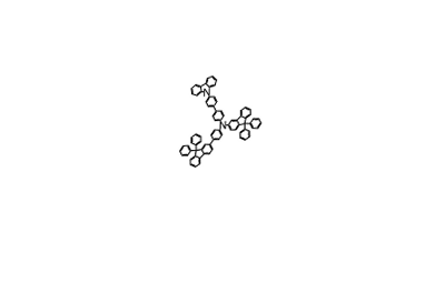 c1ccc(C2(c3ccccc3)c3ccccc3-c3cc(N(c4ccc(-c5ccc(-n6c7ccccc7c7ccccc76)cc5)cc4)c4ccc(-c5ccc6c(c5)C(c5ccccc5)(c5ccccc5)c5ccccc5-6)cc4)ccc32)cc1